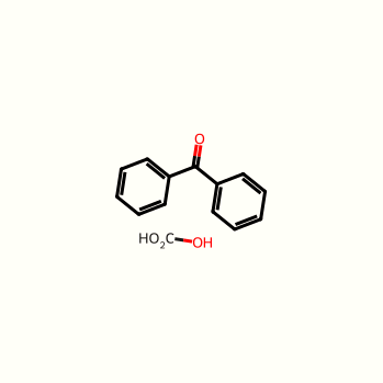 O=C(O)O.O=C(c1ccccc1)c1ccccc1